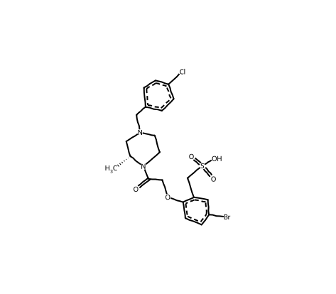 C[C@@H]1CN(Cc2ccc(Cl)cc2)CCN1C(=O)COc1ccc(Br)cc1CS(=O)(=O)O